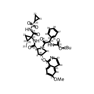 COc1ccc2c(O[C@@H]3C[C@@H](C(=O)N[C@]4(C(=O)NS(=O)(=O)C5CC5)C[C@H]4I)N(C(=O)[C@@H](NC(=O)OC(C)(C)C)c4ccccc4)C3)nccc2c1